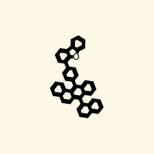 c1ccc2c(-c3c4ccccc4c(-c4ccc(-c5cccc6c5oc5ccccc56)cc4)c4c3ccc3ccccc34)cccc2c1